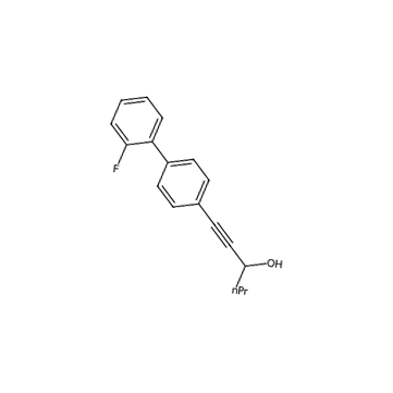 CCCC(O)C#Cc1ccc(-c2ccccc2F)cc1